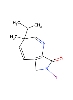 CC(C)C1(C)C=CC2=C(N=C1)C(=O)N(I)C2